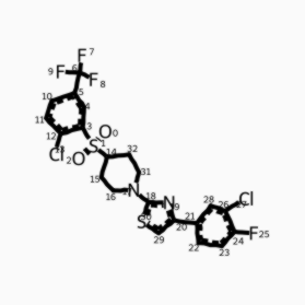 O=S(=O)(c1cc(C(F)(F)F)ccc1Cl)C1CCN(c2nc(-c3ccc(F)c(Cl)c3)cs2)CC1